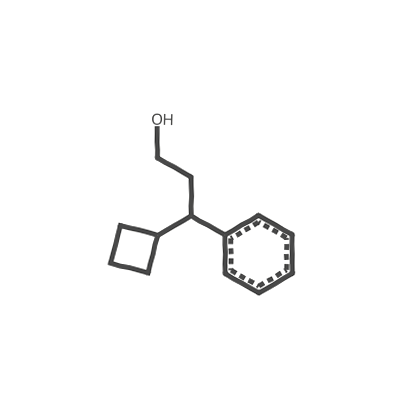 OCCC(c1ccccc1)C1CCC1